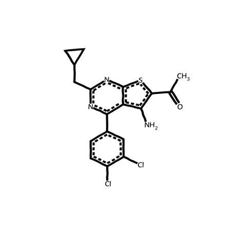 CC(=O)c1sc2nc(CC3CC3)nc(-c3ccc(Cl)c(Cl)c3)c2c1N